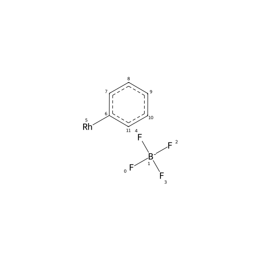 F[B-](F)(F)F.[Rh][c]1ccccc1